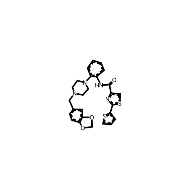 O=C(Nc1ccccc1N1CCN(Cc2ccc3c(c2)OCO3)CC1)c1csc(-c2cccs2)n1